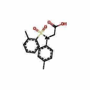 Cc1ccc([As](CC(=O)O)S(=O)(=O)c2ccccc2C)cc1